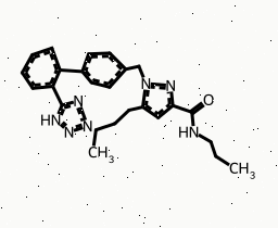 CCCCc1cc(C(=O)NCCC)nn1Cc1ccc(-c2ccccc2-c2nnn[nH]2)cc1